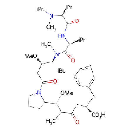 CC[C@H](C)[C@@H]([C@@H](CC(=O)N1CCC[C@H]1[C@H](OC)[C@@H](C)C(=O)C[C@@H](Cc1ccccc1)C(=O)O)OC)N(C)C(=O)[C@@H](NC(=O)[C@H](C(C)C)N(C)C(C)C)C(C)C